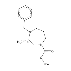 C[C@H]1CN(C(=O)OC(C)(C)C)CCCN1Cc1ccccc1